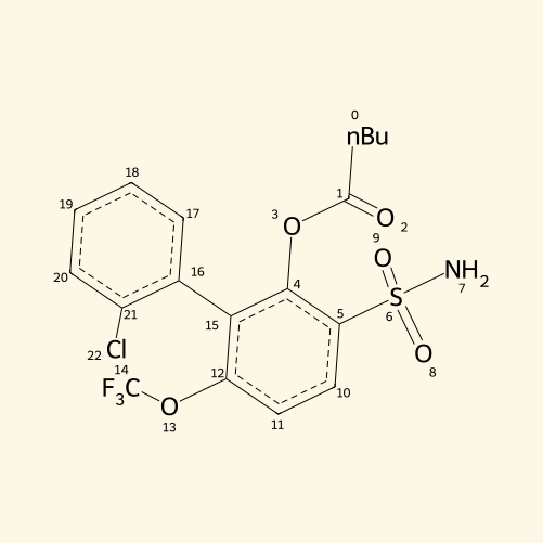 CCCCC(=O)Oc1c(S(N)(=O)=O)ccc(OC(F)(F)F)c1-c1ccccc1Cl